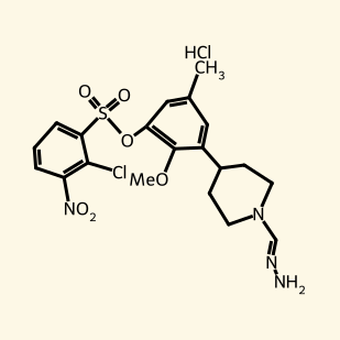 COc1c(OS(=O)(=O)c2cccc([N+](=O)[O-])c2Cl)cc(C)cc1C1CCN(C=NN)CC1.Cl